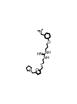 CN(C)Cc1cccc(OCCCNC(=N)NCCSCc2ccc(CN3CCCC3)o2)c1